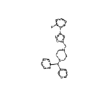 Fc1ccccc1-c1cc(CN2CCN(C(c3ccccc3)c3ccccc3)CC2)on1